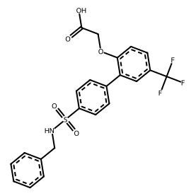 O=C(O)COc1ccc(C(F)(F)F)cc1-c1ccc(S(=O)(=O)NCc2ccccc2)cc1